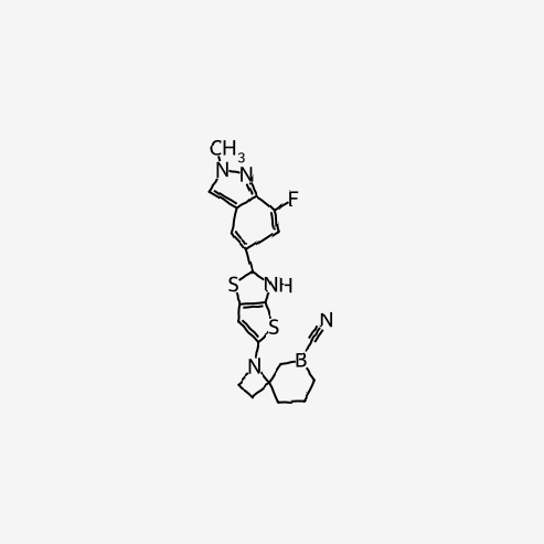 Cn1cc2cc(C3Nc4sc(N5CCC56CCCB(C#N)C6)cc4S3)cc(F)c2n1